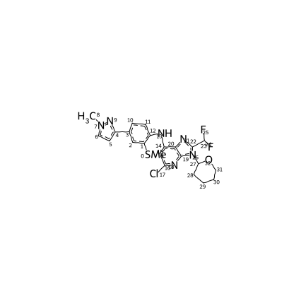 CSc1cc(-c2ccn(C)n2)ccc1Nc1cc(Cl)nc2c1nc(C(F)F)n2C1CCCCO1